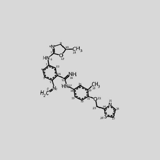 C=Nc1ccc(NC2=NCC(C)O2)cc1C(=N)Nc1ccc(OCc2nccs2)c(C)c1